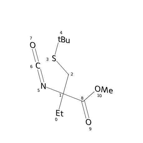 CCC(CSC(C)(C)C)(N=C=O)C(=O)OC